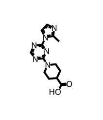 Cc1nccn1-c1ncnc(N2CCC(C(=O)O)CC2)n1